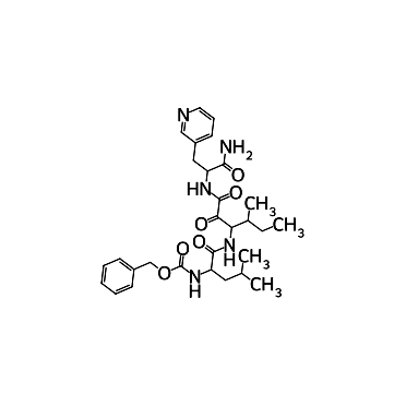 CCC(C)C(NC(=O)C(CC(C)C)NC(=O)OCc1ccccc1)C(=O)C(=O)NC(Cc1cccnc1)C(N)=O